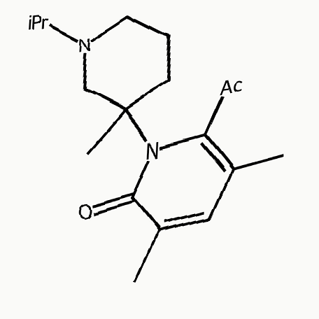 CC(=O)c1c(C)cc(C)c(=O)n1C1(C)CCCN(C(C)C)C1